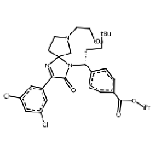 CC(C)OC(=O)c1ccc([C@@H](CCC(C)(C)C)N2C(=O)C(c3cc(Cl)cc(Cl)c3)=NC23CCN(CCC(C)(C)C)C3)cc1